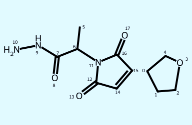 C1CCOC1.CC(C(=O)NN)N1C(=O)C=CC1=O